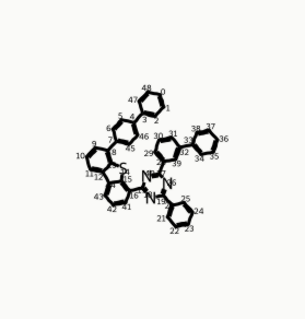 c1ccc(-c2ccc(-c3cccc4c3sc3c(-c5nc(-c6ccccc6)nc(-c6cccc(-c7ccccc7)c6)n5)cccc34)cc2)cc1